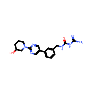 N=C(N)NC(=O)NCc1cccc(-c2cnc(N3CCCC(O)C3)nc2)c1